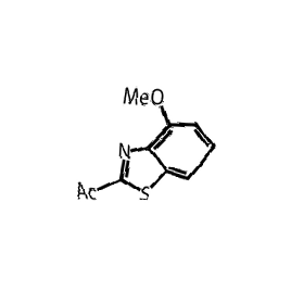 COc1cccc2sc(C(C)=O)nc12